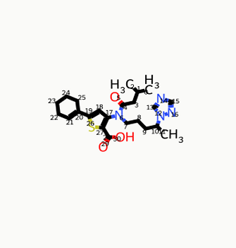 CC(C)CC(=O)N(CCCC(C)n1cncn1)c1cc(C2=CCCCC2)sc1C(=O)O